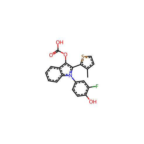 Cc1ccsc1-c1c(OC(=O)O)c2ccccc2n1-c1ccc(O)c(F)c1